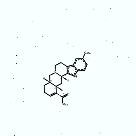 COC(=O)C1=CCC[C@@H]2CN3CCc4c([nH]c5ccc(OC)cc45)[C@@H]3C[C@H]12